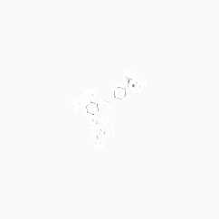 COc1c(/C=C(\C)c2ccc([N+](=O)[O-])cc2)cc(N2CCC(=O)NC2=O)cc1C(C)(C)C